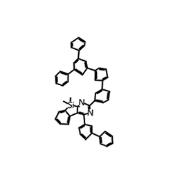 C[Si]1(C)c2ccccc2-c2c(-c3cccc(-c4ccccc4)c3)nc(-c3cccc(-c4cccc(-c5cc(-c6ccccc6)cc(-c6ccccc6)c5)c4)c3)nc21